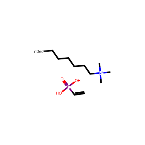 C=CP(=O)(O)O.CCCCCCCCCCCCCCCC[N+](C)(C)C